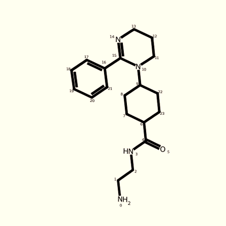 NCCNC(=O)C1CCC(N2CCCN=C2c2ccccc2)CC1